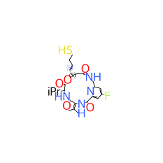 CC(C)=C1NC(=O)c2cc(F)cc(n2)CNC(=O)C[C@@H](/C=C/CCS)OC(=O)C(C(C)C)NC1=O